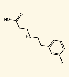 O=C(O)CCNCCc1cccc(F)c1